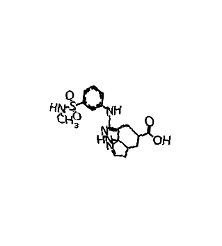 CNS(=O)(=O)c1cccc(NC2=C3CC(C(=O)O)CC4CC=NC34NC=N2)c1